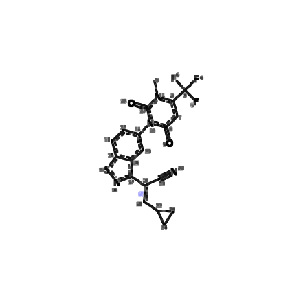 Cn1c(C(F)(F)F)cc(=O)n(-c2ccc3snc(/C(C#N)=C/C4CC4)c3c2)c1=O